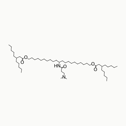 CCCCCC(CCCCC)CC(=O)OCCCCCCCCCCC(CCCCCCCCCCOC(=O)CC(CCCCC)CCCCC)NC(=O)CCN(C)C